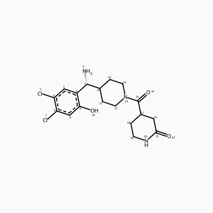 N[C@@H](c1cc(Cl)c(Cl)cc1O)C1CCN(C(=O)C2CCNC(=O)C2)CC1